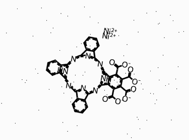 O=C([O-])c1c(C(=O)[O-])c(C(=O)[O-])c2c3nc4nc(nc5[nH]c(nc6nc(nc([nH]3)c2c1C(=O)[O-])-c1ccccc1-6)c1ccccc51)-c1ccccc1-4.[Ni+2].[Ni+2]